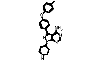 Cc1ccc(Oc2ccc(-c3nn(C4CCNCC4)c4ncnc(N)c34)cc2)cc1